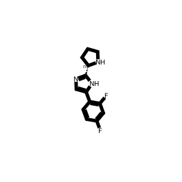 Fc1ccc(-c2cnc([C@@H]3CCCN3)[nH]2)c(F)c1